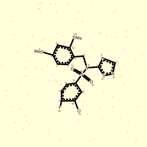 COc1ccc(CN(c2ncns2)S(=O)(=O)c2ccc(F)c(Cl)c2)c(OC)c1